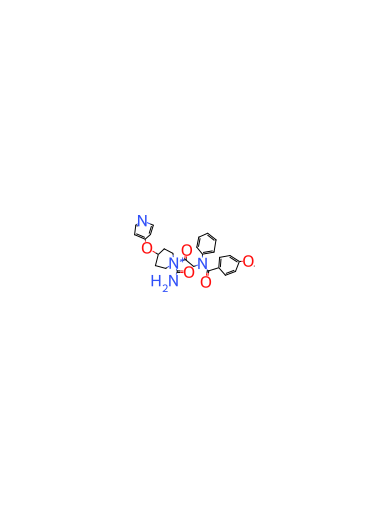 COc1ccc(C(=O)N(CC(=O)[N+]2(C(N)=O)CCC(Oc3ccncc3)CC2)c2ccccc2)cc1